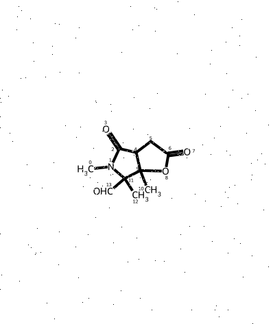 CN1C(=O)C2CC(=O)OC2(C)C1(C)C=O